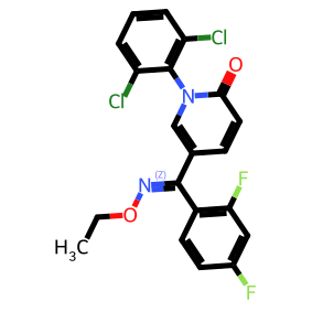 CCO/N=C(/c1ccc(=O)n(-c2c(Cl)cccc2Cl)c1)c1ccc(F)cc1F